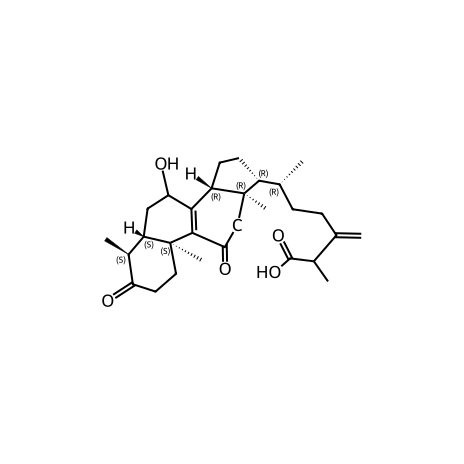 C=C(CC[C@@H](C)[C@H]1CC[C@H]2C3=C(C(=O)C[C@]12C)[C@@]1(C)CCC(=O)[C@@H](C)[C@@H]1CC3O)C(C)C(=O)O